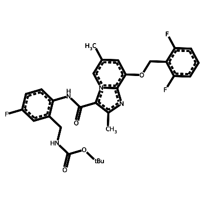 Cc1cc(OCc2c(F)cccc2F)c2nc(C)c(C(=O)Nc3ccc(F)cc3CNC(=O)OC(C)(C)C)n2c1